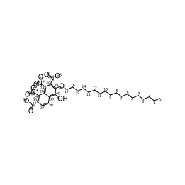 CCCCCCCCCCCCCCCCCCOc1c([N+](=O)[O-])c([N+](=O)[O-])c2c([N+](=O)[O-])c([N+](=O)[O-])ccc2c1O